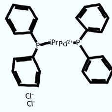 CC(C)P(c1ccccc1)c1ccccc1.[Cl-].[Cl-].[Pd+2][P](c1ccccc1)c1ccccc1